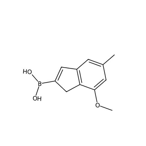 COc1cc(C)cc2c1CC(B(O)O)=C2